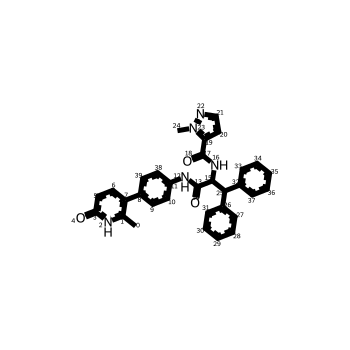 Cc1[nH]c(=O)ccc1-c1ccc(NC(=O)C(NC(=O)c2ccnn2C)C(c2ccccc2)c2ccccc2)cc1